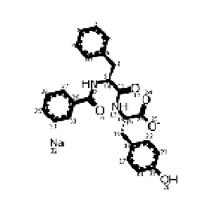 O=C(N[C@@H](Cc1ccccc1)C(=O)N[C@@H](Cc1ccc(O)cc1)C(=O)[O-])c1ccccc1.[Na+]